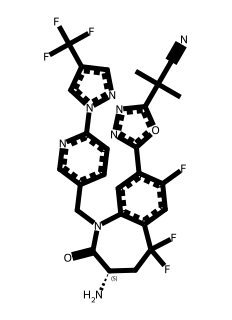 CC(C)(C#N)c1nnc(-c2cc3c(cc2F)C(F)(F)C[C@H](N)C(=O)N3Cc2ccc(-n3cc(C(F)(F)F)cn3)nc2)o1